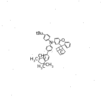 CC(C)(C)c1ccc(N(c2ccc(-c3ccc4c(c3)C(C)(C)CCC4(C)C)cc2)c2ccc3c(c2)C2(c4ccccc4O3)C3CC4CC5CC2C53C4)cc1